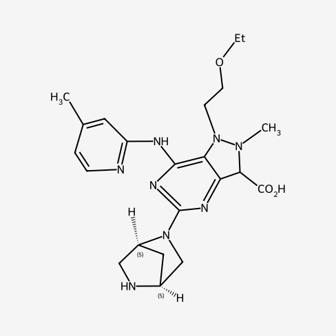 CCOCCN1c2c(Nc3cc(C)ccn3)nc(N3C[C@@H]4C[C@H]3CN4)nc2C(C(=O)O)N1C